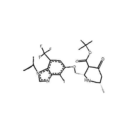 CC(C)n1cnc2c(I)c(OC[C@H]3N[C@@H](C)CC(=O)C3C(=O)OC(C)(C)C)cc(C(F)(F)F)c21